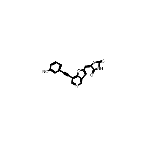 N#Cc1cccc(C#Cc2cncc3cc(/C=C4/SC(=S)NC4=O)oc23)c1